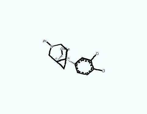 COC[C@]12CN(C(C)C)CC[C@@]1(c1ccc(Cl)c(Cl)c1)C2